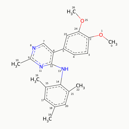 COc1ccc(-c2cnc(C)nc2Nc2c(C)cc(C)cc2C)cc1OC